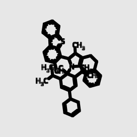 Cc1ccc2c(sc3ccccc32)c1C1C(C)C2=C(c3ccccc3CC2)N1C1(C)C(C(C)C)=CC(C2C=CC=CC2)=CC1C(C)C